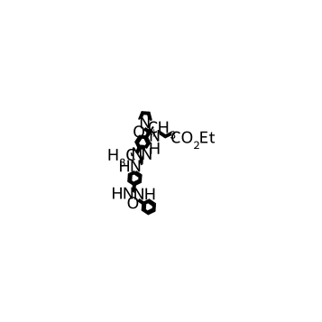 CCOC(=O)CCCN[C@@](C)(C(=O)N1CCCC1)c1ccc2c(c1)nc(CNc1ccc(C(=N)NC(=O)c3ccccc3)cc1)n2C